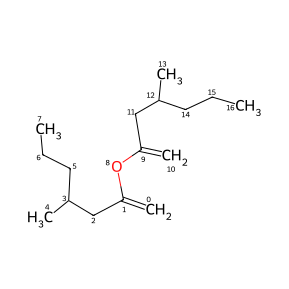 C=C(CC(C)CCC)OC(=C)CC(C)CCC